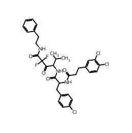 CC(C)C(NC(=O)C(Cc1ccc(Cl)cc1)NC(=O)CCc1ccc(Cl)c(Cl)c1)C(=O)C(F)(F)C(=O)NCCc1ccccc1